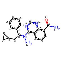 NC(=O)c1cccc2c(N(N)[C@@H](CC3CC3)c3ccccc3)ncnc12